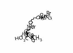 CS(=O)(=O)CCC(NS(=O)(=O)c1cnc(N2CCC(CCCC3CCN(S(=O)(=O)c4cc(Br)c(Cl)s4)CC3)CC2)c(Br)c1)C(=O)O